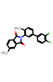 O=C(O)c1ccc2c(c1)C(=O)N(c1cc(-c3ccc(Cl)c(F)c3)ccc1C(=O)O)C2=O